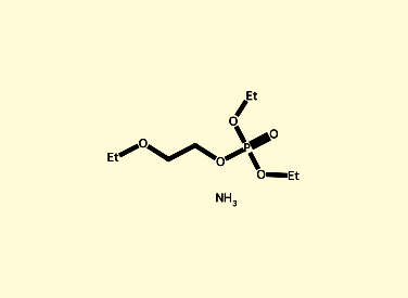 CCOCCOP(=O)(OCC)OCC.N